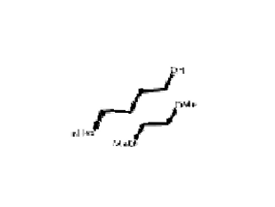 CCCCCCCCCCO.COCCOC